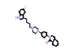 O=c1c2ccccc2ccn1-c1ccc(N2CCN(CCCCc3c[nH]c4ccc(F)cc34)CC2)cc1